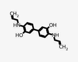 C=CCNc1ccc(-c2ccc(NCC=C)c(O)c2)cc1O